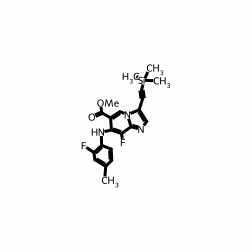 COC(=O)c1cn2c(C#C[Si](C)(C)C)cnc2c(F)c1Nc1ccc(C)cc1F